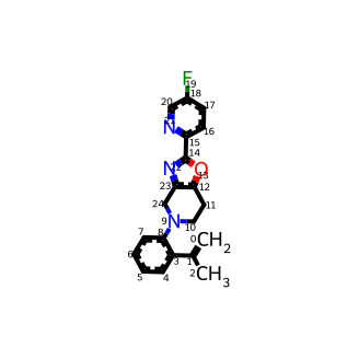 C=C(C)c1ccccc1N1CCc2oc(-c3ccc(F)cn3)nc2C1